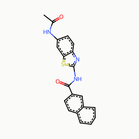 CC(=O)Nc1ccc2nc(NC(=O)c3ccc4ccccc4c3)sc2c1